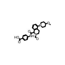 COC1CCN(c2cccc3c2CCN(C=O)C3C(=O)Nc2ccc(C(=O)O)cc2)CC1